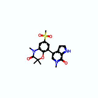 CN1C(=O)C(C)(C)Oc2c(-c3cn(C)c(=O)c4[nH]ccc34)cc(S(C)(=O)=O)cc21